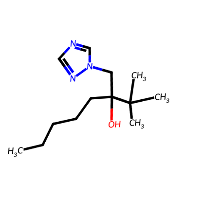 CCCCCC(O)(Cn1cncn1)C(C)(C)C